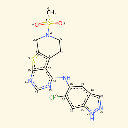 CS(=O)(=O)N1CCc2c(sc3ncnc(Nc4cc5cn[nH]c5cc4Cl)c23)C1